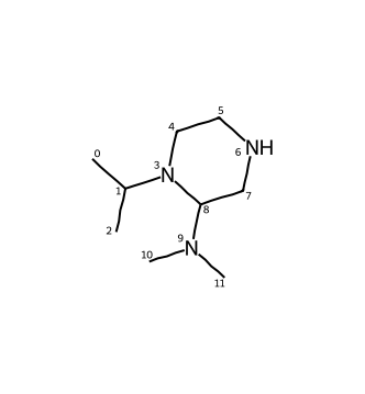 CC(C)N1CCNCC1N(C)C